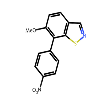 COc1ccc2cnsc2c1-c1ccc([N+](=O)[O-])cc1